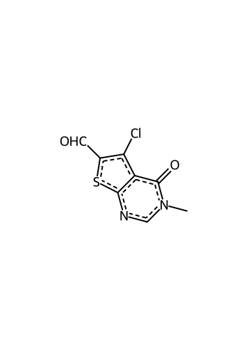 Cn1cnc2sc(C=O)c(Cl)c2c1=O